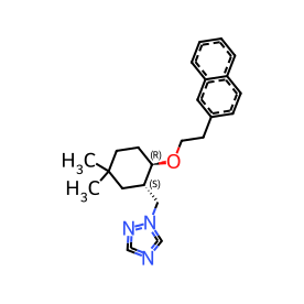 CC1(C)CC[C@@H](OCCc2ccc3ccccc3c2)[C@H](Cn2cncn2)C1